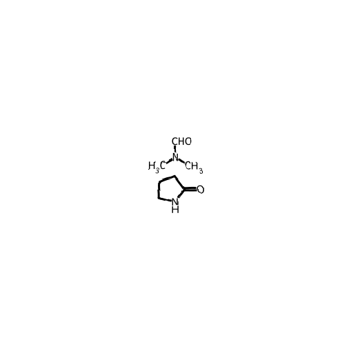 CN(C)C=O.O=C1CCCN1